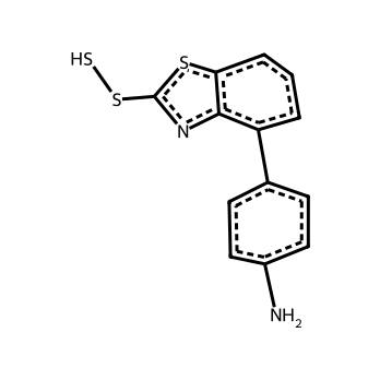 Nc1ccc(-c2cccc3sc(SS)nc23)cc1